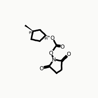 C[C@@H]1CC[C@@H](OC(=O)ON2C(=O)CCC2=O)C1